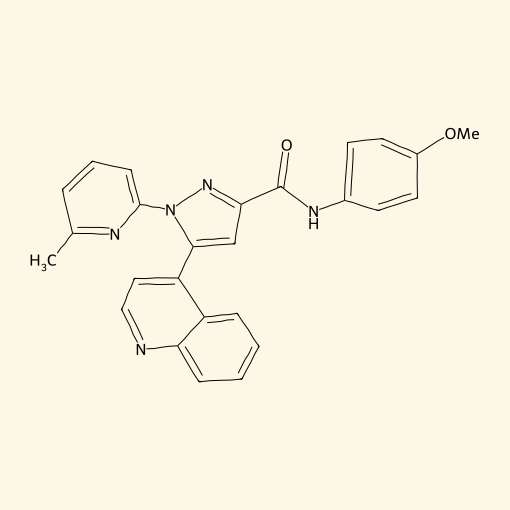 COc1ccc(NC(=O)c2cc(-c3ccnc4ccccc34)n(-c3cccc(C)n3)n2)cc1